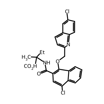 CCC(C)(NC(=O)c1cc(Cl)c2ccccc2c1OCc1ccc2cc(Cl)ccc2n1)C(=O)O